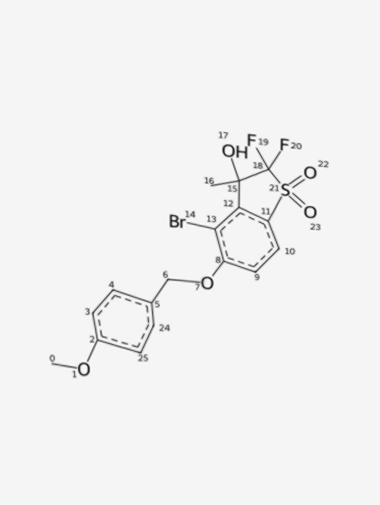 COc1ccc(COc2ccc3c(c2Br)C(C)(O)C(F)(F)S3(=O)=O)cc1